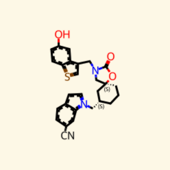 N#Cc1ccc2ccn(C[C@H]3CCC[C@]4(C3)CN(Cc3csc5ccc(O)cc35)C(=O)O4)c2c1